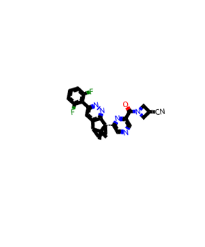 CC1(C)C2CC[C@]1(c1cncc(C(=O)N3CC(C#N)C3)n1)c1nnc(-c3c(F)cccc3F)cc12